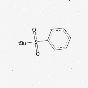 CC(C)(C)S(=O)(=O)c1[c]cccc1